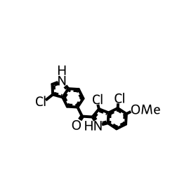 COc1ccc2[nH]c(C(=O)c3ccc4[nH]cc(Cl)c4c3)c(Cl)c2c1Cl